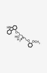 COc1ccccc1OCCN(P)CC(O)COc1cccc2[nH]c3ccccc3c12